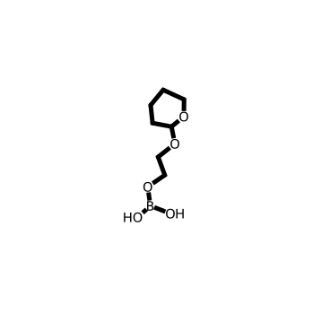 OB(O)OCCOC1CCCCO1